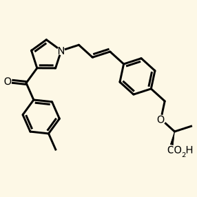 Cc1ccc(C(=O)c2ccn(C/C=C/c3ccc(CO[C@@H](C)C(=O)O)cc3)c2)cc1